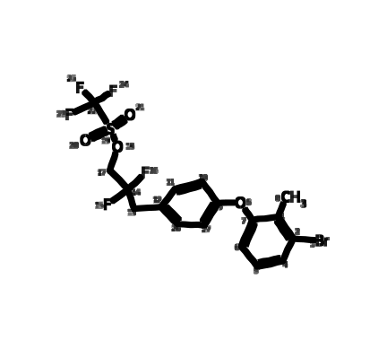 Cc1c(Br)cccc1Oc1ccc(CC(F)(F)COS(=O)(=O)C(F)(F)F)cc1